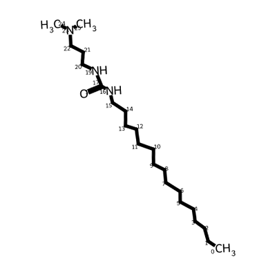 CCCCCCCCCCCCCCCCNC(=O)NCCCN(C)C